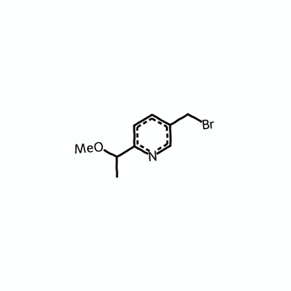 COC(C)c1ccc(CBr)cn1